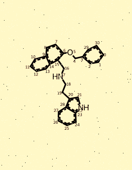 c1ccc(COc2ccc3ccccc3c2CNCCc2c[nH]c3ccccc23)cc1